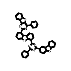 c1ccc(-c2nc(-c3ccc4sc5ccccc5c4c3)nc(-c3cccc4c3oc3cccc(-c5nc(-c6ccccc6)c6sc7ccccc7c6n5)c34)n2)cc1